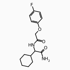 NC(=O)C(NC(=O)COc1ccc(F)cc1)C1CCCCC1